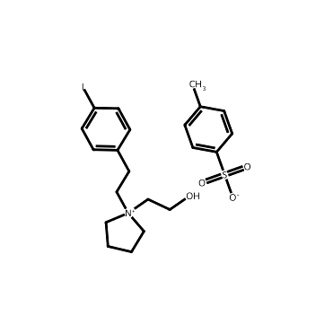 Cc1ccc(S(=O)(=O)[O-])cc1.OCC[N+]1(CCc2ccc(I)cc2)CCCC1